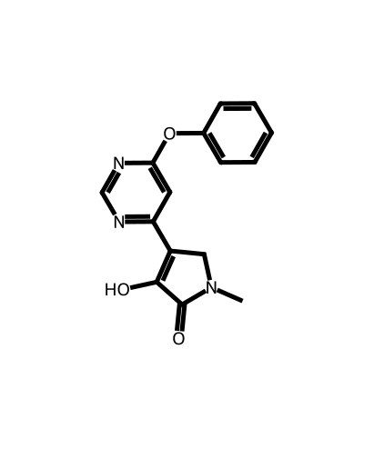 CN1CC(c2cc(Oc3ccccc3)ncn2)=C(O)C1=O